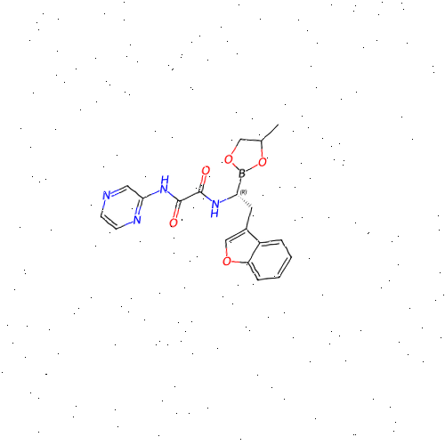 CC1COB([C@H](Cc2coc3ccccc23)NC(=O)C(=O)Nc2cnccn2)O1